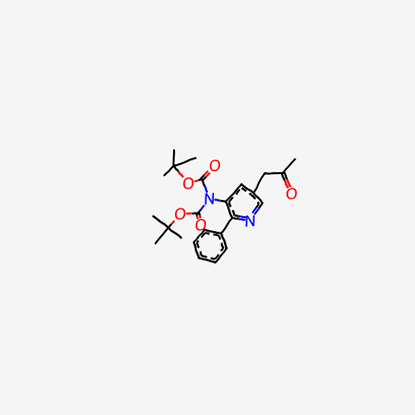 CC(=O)Cc1cnc(-c2ccccc2)c(N(C(=O)OC(C)(C)C)C(=O)OC(C)(C)C)c1